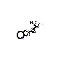 CCC(CC)c1nc(C2OCC3/C=C\CCCCCC3CO2)cs1